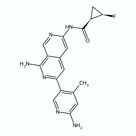 Cc1cc(N)ncc1-c1cc2cc(NC(=O)[C@H]3C[C@H]3F)ncc2c(N)n1